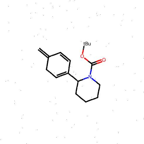 C=C1C=CC(C2CCCCN2C(=O)OC(C)(C)C)=CC1